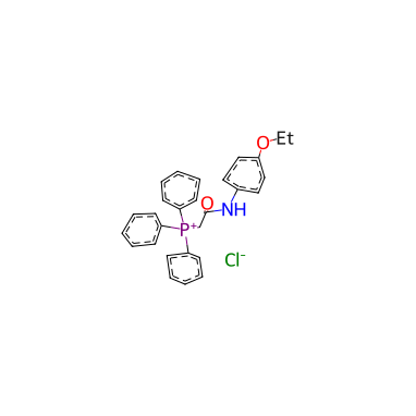 CCOc1ccc(NC(=O)C[P+](c2ccccc2)(c2ccccc2)c2ccccc2)cc1.[Cl-]